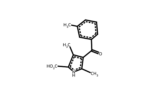 Cc1cccc(C(=O)c2c(C)[nH]c(C(=O)O)c2C)c1